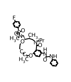 CC(C)N1C[C@@H](C)[C@H](CN(C)S(=O)(=O)c2ccc(F)cc2)OCCCC[C@H](C)Oc2ccc(NC(=O)Nc3ccccc3)cc2C1=O